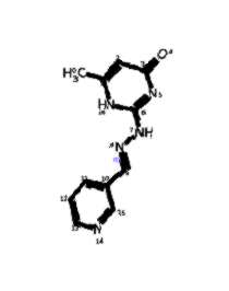 Cc1cc(=O)nc(N/N=C/c2cccnc2)[nH]1